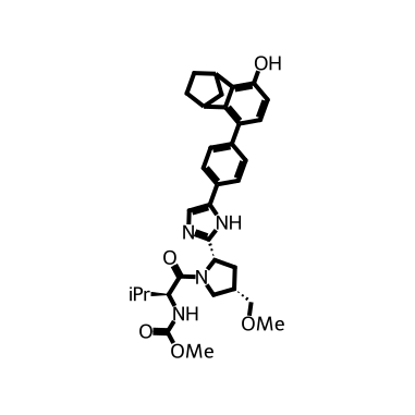 COC[C@H]1C[C@@H](c2ncc(-c3ccc(-c4ccc(O)c5c4C4CCC5C4)cc3)[nH]2)N(C(=O)[C@@H](NC(=O)OC)C(C)C)C1